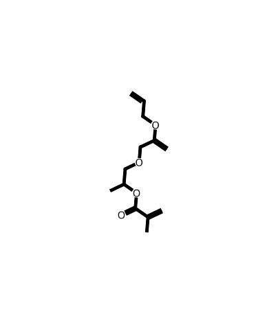 C=CCOC(=C)COCC(C)OC(=O)C(=C)C